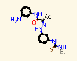 CCNC(=S)Nc1cccc(N/N=C(/C(C)=O)C(=O)Nc2cccc(N)c2)c1